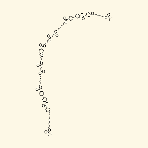 C=C(C)C(=O)OCCCCCCCCc1ccc(C(=O)Oc2ccc(-c3ccc(C(=O)OCCCCCCOC(=O)CCC(=O)OCCCOC4(C)C=CC(C(=O)OCCCOC(=O)CCC(=O)OCCCCCCOC(=O)c5ccc(-c6ccc(OC(=O)c7ccc(OCCCCCCOC(=O)C(=C)C)cc7)cc6)cc5)=CC4)cc3)cc2)cc1